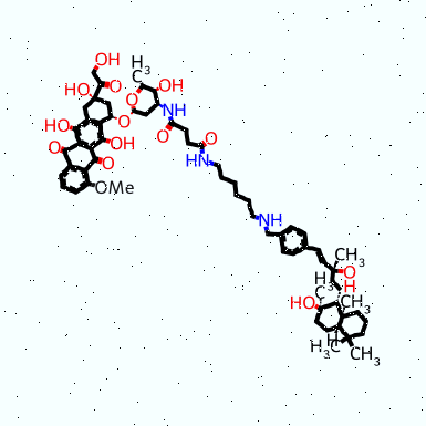 COc1cccc2c1C(=O)c1c(O)c3c(c(O)c1C2=O)C[C@@](O)(C(=O)CO)C[C@@H]3O[C@H]1C[C@H](NC(=O)CCC(=O)NCCCCCCNCc2ccc(/C=C/[C@](C)(O)CC[C@@H]3[C@@]4(C)CCCC(C)(C)[C@@H]4CC[C@@]3(C)O)cc2)[C@H](O)[C@H](C)O1